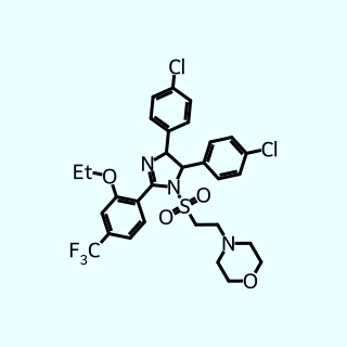 CCOc1cc(C(F)(F)F)ccc1C1=NC(c2ccc(Cl)cc2)C(c2ccc(Cl)cc2)N1S(=O)(=O)CCN1CCOCC1